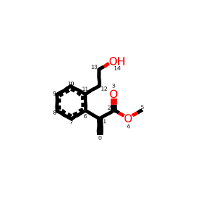 C=C(C(=O)OC)c1ccccc1CCO